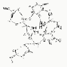 C=C(/C=C\C(Cl)=C/C)[C@H](Nc1cc(Cl)c2ncc(C#N)c(Nc3ccccc3Cl)c2c1)C1=CN(C2CCN(C(C)(C)C)CC2)NN1